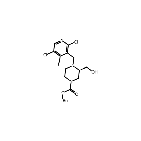 CC(C)(C)OC(=O)N1CCN(Cc2c(Cl)ncc(Cl)c2F)[C@@H](CO)C1